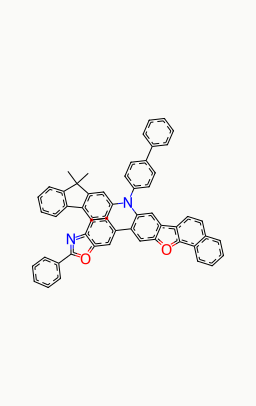 CC1(C)c2ccccc2-c2ccc(N(c3ccc(-c4ccccc4)cc3)c3cc4c(cc3-c3ccc5nc(-c6ccccc6)oc5c3)oc3c5ccccc5ccc43)cc21